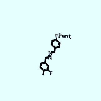 CCCCCc1ccc(C=NN=Cc2ccc(C)c(F)c2)cc1